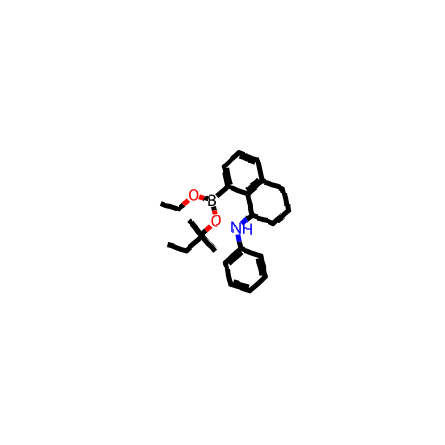 CCOB(OC(C)(C)CC)c1cccc2c1C(Nc1ccccc1)CCC2